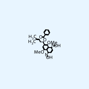 COc1cc([C@@H](CC=C(C)C)OC(=O)c2ccccc2)c(OC)c2c1C(=NO)C=CC2=NO